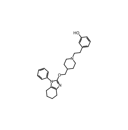 Oc1cccc(CCN2CCC(COc3nc4c(n3-c3ccccc3)CCCC4)CC2)c1